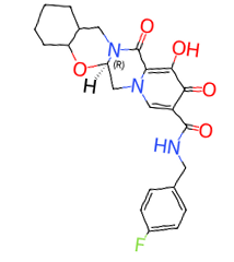 O=C(NCc1ccc(F)cc1)c1cn2c(c(O)c1=O)C(=O)N1CC3CCCCC3O[C@@H]1C2